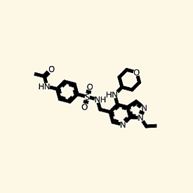 CCn1ncc2c(NC3CCOCC3)c(CNS(=O)(=O)c3ccc(NC(C)=O)cc3)cnc21